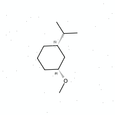 CO[C@@H]1CCC[C@H](C(C)C)C1